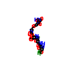 COc1cc2c(Oc3ccc(NC(=O)c4c(C)n(C)c5ccc(OC(F)(F)F)cc5c4=O)cc3F)ncnc2cc1OCC(=O)N1CCC(CCOc2ccc3c(c2)CN(C2CCC(=O)NC2=O)C3=O)CC1